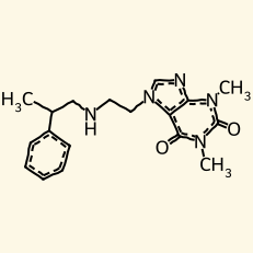 CC(CNCCn1cnc2c1c(=O)n(C)c(=O)n2C)c1ccccc1